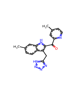 Cc1ccnc(C(=O)c2[nH]c3cc(C)ccc3c2Cc2nnn[nH]2)c1